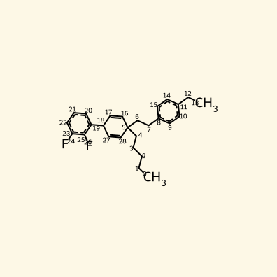 CCCCCC1(CCc2ccc(CC)cc2)C=CC(c2cccc(F)c2F)C=C1